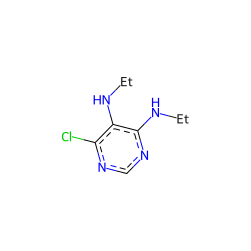 CCNc1ncnc(Cl)c1NCC